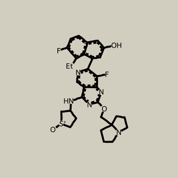 CCc1c(F)ccc2cc(O)cc(-c3ncc4c(NC5CC[S+]([O-])C5)nc(OCC56CCCN5CCC6)nc4c3F)c12